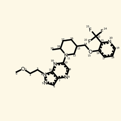 COCCn1ncc2ncc(N3CC(COc4cccnc4C(F)(F)F)CCC3C)nc21